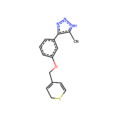 N#Cc1[nH]nnc1-c1cccc(OCC2=CCSC=C2)c1